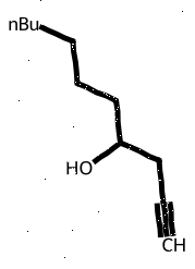 C#CCC(O)CCCCCCC